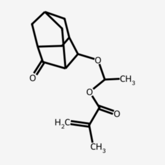 C=C(C)C(=O)OC(C)OC1C2CC3CC(C2)C(=O)C1C3